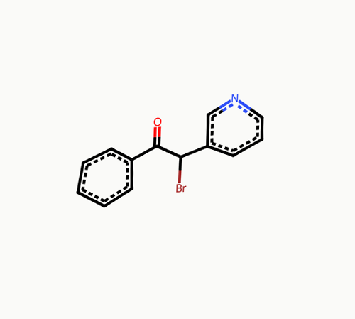 O=C(c1ccccc1)C(Br)c1cccnc1